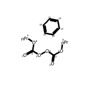 CCCOC(=O)OOC(=O)OCCC.c1ccccc1